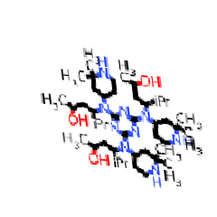 CC(O)CC(C(C)C)N(c1nc(N(C2CCNC(C)(C)C2)C(CC(C)O)C(C)C)nc(N(C2CCNC(C)(C)C2)C(CC(C)O)C(C)C)n1)C1CCNC(C)(C)C1